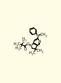 CN(c1ccccc1)c1cc2c(cn1)C(C)(C)CN2OC(=O)C(C)(C)C